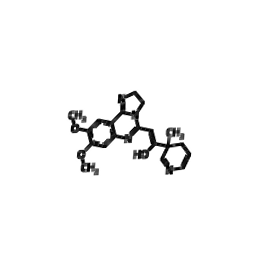 COc1cc2c(cc1OC)C1=NCCN1C(/C=C(\O)C1(C)C=NC=CC1)=N2